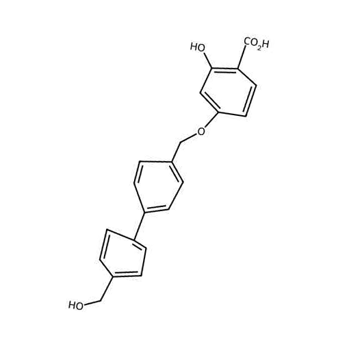 O=C(O)c1ccc(OCc2ccc(-c3ccc(CO)cc3)cc2)cc1O